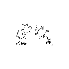 CNc1ccc2c(c1)CN(Cc1ccc(OC(F)(F)F)cn1)CC2